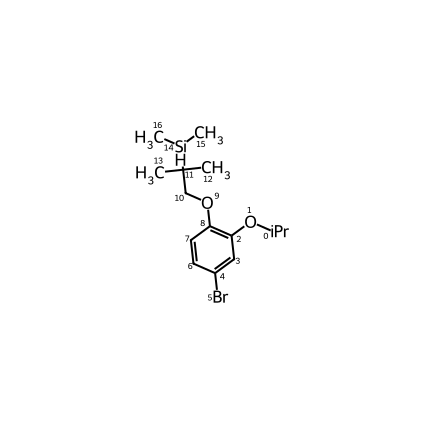 CC(C)Oc1cc(Br)ccc1OCC(C)(C)[SiH](C)C